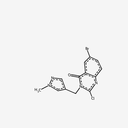 Cn1cc(Cn2c(Cl)nc3ccc(Br)cc3c2=O)cn1